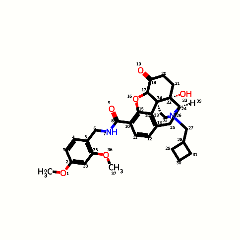 COc1ccc(CNC(=O)c2ccc3c4c2OC2C(=O)CC[C@@]5(O)[C@@H](C3)N(CC3CCC3)CC[C@]425)c(OC)c1